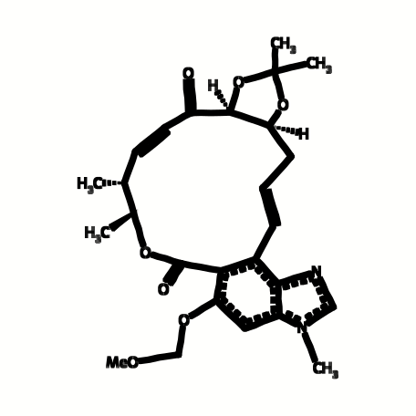 COCOc1cc2c(ncn2C)c2c1C(=O)O[C@@H](C)[C@H](C)/C=C\C(=O)[C@H]1OC(C)(C)O[C@H]1C/C=C/2